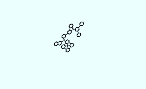 c1ccc(-c2cc(-c3ccccc3)cc(-n3c4ccccc4c4cc(-c5cccc(N(c6ccc7c(c6)C6(c8ccccc8-c8ccccc86)c6ccccc6-7)c6ccc7ccccc7c6)c5)ccc43)c2)cc1